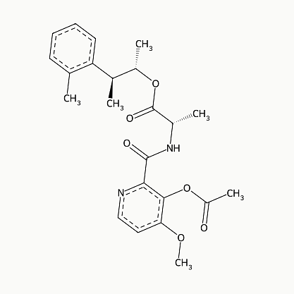 COc1ccnc(C(=O)N[C@@H](C)C(=O)O[C@@H](C)[C@@H](C)c2ccccc2C)c1OC(C)=O